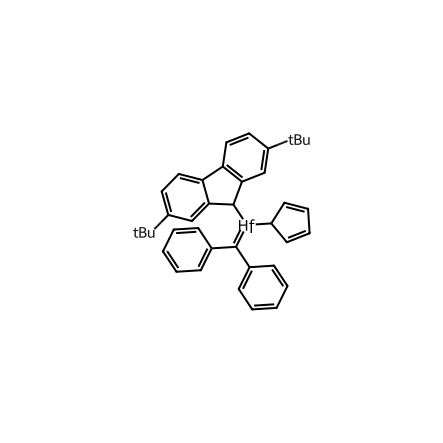 CC(C)(C)c1ccc2c(c1)[CH]([Hf](=[C](c1ccccc1)c1ccccc1)[CH]1C=CC=C1)c1cc(C(C)(C)C)ccc1-2